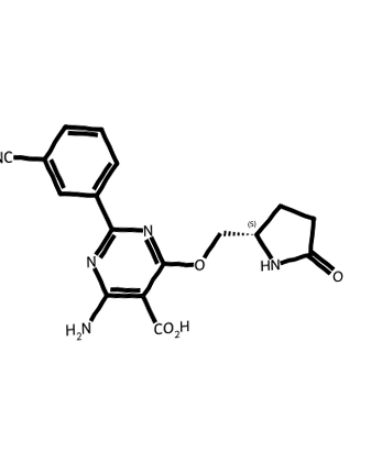 N#Cc1cccc(-c2nc(N)c(C(=O)O)c(OC[C@@H]3CCC(=O)N3)n2)c1